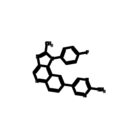 Cc1nc2cnc3ccc(-c4cnc(N)nc4)cc3c2n1-c1ccc(F)cc1